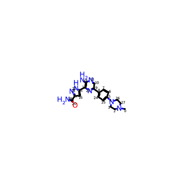 CN1CCN(c2ccc(-c3cnc(N)c(-c4cc(C(N)=O)n[nH]4)n3)cc2)CC1